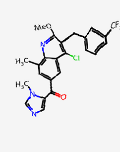 COc1nc2c(C)cc(C(=O)c3cncn3C)cc2c(Cl)c1Cc1cccc(C(F)(F)F)c1